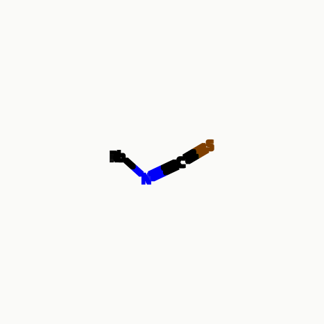 S=C=[N][Rb]